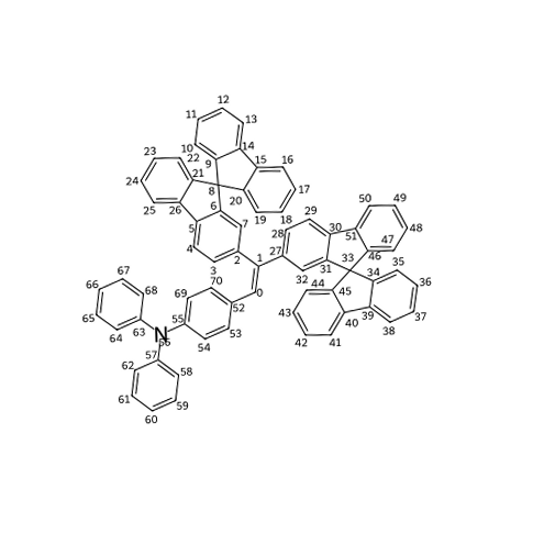 C(=C(c1ccc2c(c1)C1(c3ccccc3-c3ccccc31)c1ccccc1-2)c1ccc2c(c1)C1(c3ccccc3-c3ccccc31)c1ccccc1-2)c1ccc(N(c2ccccc2)c2ccccc2)cc1